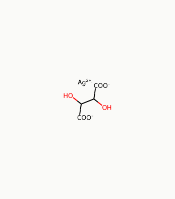 O=C([O-])C(O)C(O)C(=O)[O-].[Ag+2]